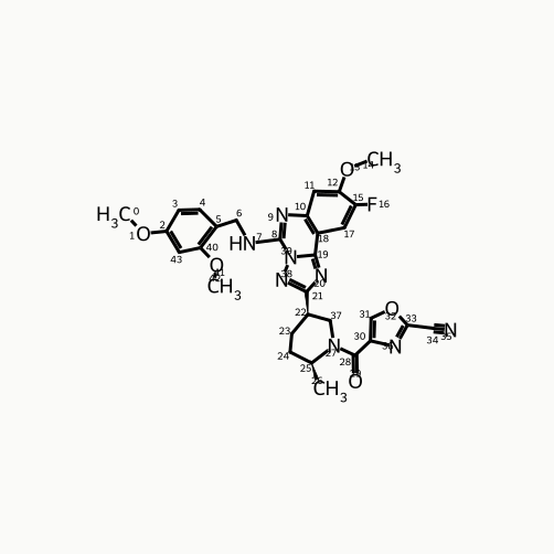 COc1ccc(CNc2nc3cc(OC)c(F)cc3c3nc([C@@H]4CC[C@H](C)N(C(=O)c5coc(C#N)n5)C4)nn23)c(OC)c1